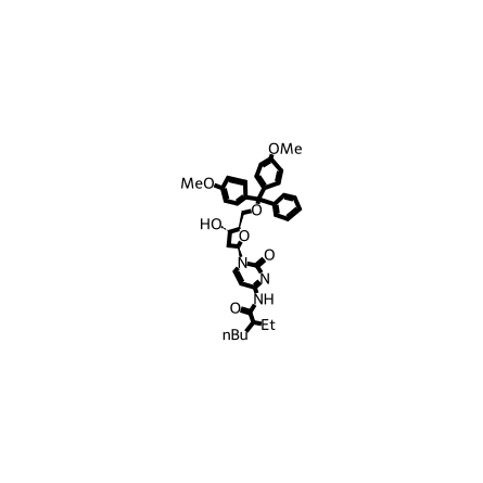 CCCCC(CC)C(=O)Nc1ccn([C@H]2C[C@H](O)[C@@H](COC(c3ccccc3)(c3ccc(OC)cc3)c3ccc(OC)cc3)O2)c(=O)n1